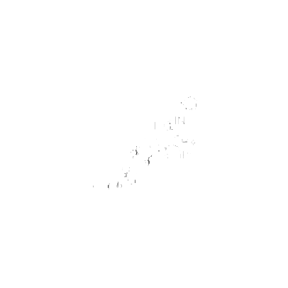 CC(C)C1=C2[C@@]([C@H](O)CNCc3ccccn3)(CC[C@]3(C)[C@]2(C)CC[C@@H]2[C@@]4(C)CC[C@H](OC(=O)CC(C)(C)C(=O)O)C(C)(C)[C@@H]4CC[C@]23C)CC1=O